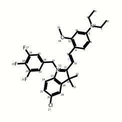 CCN(CC)c1ccc(/C=C/C2=[N+](Cc3cc(F)c(F)c(F)c3)c3ccc(Cl)cc3C2(C)C)c(OC)c1